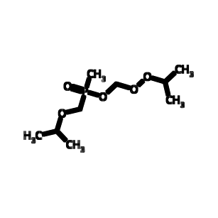 CC(C)OCP(C)(=O)OCOOC(C)C